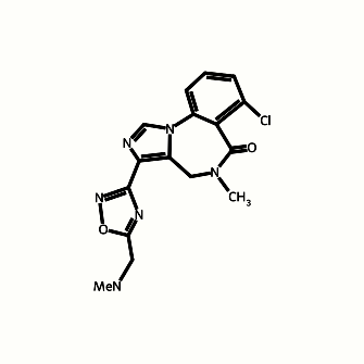 CNCc1nc(-c2ncn3c2CN(C)C(=O)c2c(Cl)cccc2-3)no1